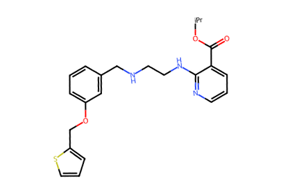 CC(C)OC(=O)c1cccnc1NCCNCc1cccc(OCc2cccs2)c1